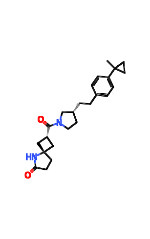 CC1(c2ccc(CC[C@@H]3CCN(C(=O)[C@H]4C[C@]5(CCC(=O)N5)C4)C3)cc2)CC1